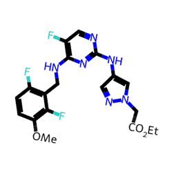 CCOC(=O)Cn1cc(Nc2ncc(F)c(NCc3c(F)ccc(OC)c3F)n2)cn1